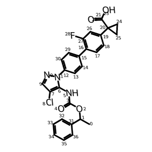 CC(OC(=O)Nc1c(Cl)cnn1-c1ccc(-c2ccc(C3(C(=O)O)CC3)cc2F)cc1)c1ccccc1